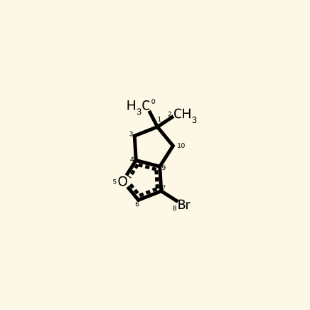 CC1(C)Cc2occ(Br)c2C1